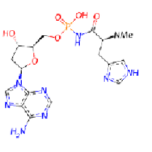 CN[C@@H](Cc1c[nH]cn1)C(=O)NP(=O)(O)OC[C@H]1O[C@@H](n2cnc3c(N)ncnc32)C[C@@H]1O